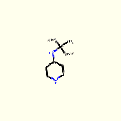 CCCCCCC(C)(CCCCC)NC1CCNCC1